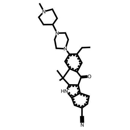 CCc1cc2c(cc1N1CCN(C3CCN(C)CC3)CC1)C(C)(C)c1[nH]c3cc(C#N)ccc3c1C2=O